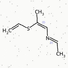 C=CS/C(C)=C\N=C\C